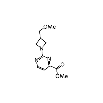 COCC1CN(c2nccc(C(=O)OC)n2)C1